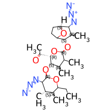 CCC1O[C@H](O[C@H]2[C@H](C)C(C)[C@H](O[C@@H]3C4CC[C@H](O4)C(N=[N+]=[N-])[C@H]3C)O[C@H]2C(C)=O)C(N=[N+]=[N-])[C@@H](C)[C@@H]1C